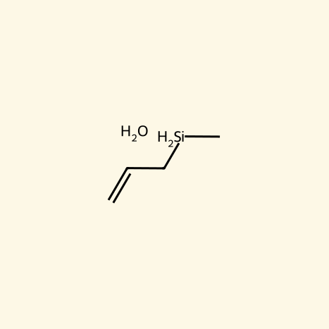 C=CC[SiH2]C.O